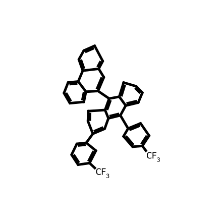 FC(F)(F)c1ccc(-c2c3ccccc3c(-c3cc4ccccc4c4ccccc34)c3ccc(-c4cccc(C(F)(F)F)c4)cc23)cc1